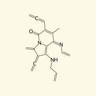 C=C=CC1=C(C)/C(=N/C=C)c2c(NCC=C)c(=C=C)c(=C)n2C1=O